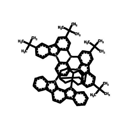 CC(C)(C)c1ccc2c(c1)c1cc(C(C)(C)C)cc3c1n2-c1cc(-n2c4ccccc4c4ccc5c6ccccc6n(C67CC8CCC6CCC(C8)C7)c5c42)cc2c1B3c1cc(C(C)(C)C)cc3c4cc(C(C)(C)C)ccc4n-2c13